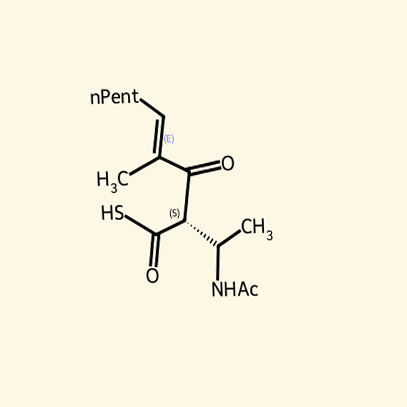 CCCCC/C=C(\C)C(=O)[C@@H](C(=O)S)C(C)NC(C)=O